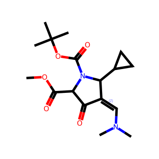 COC(=O)C1C(=O)/C(=C\N(C)C)C(C2CC2)N1C(=O)OC(C)(C)C